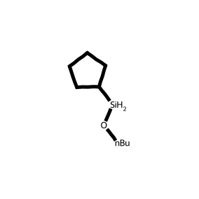 CCCCO[SiH2]C1CCCC1